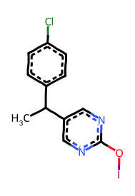 CC(c1ccc(Cl)cc1)c1cnc(OI)nc1